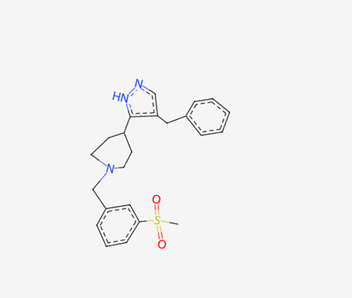 CS(=O)(=O)c1cccc(CN2CCC(c3[nH]ncc3Cc3ccccc3)CC2)c1